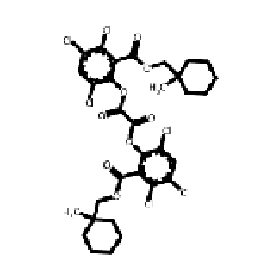 CC1(COC(=O)c2c(Cl)c(Cl)cc(Cl)c2OC(=O)C(=O)Oc2c(Cl)cc(Cl)c(Cl)c2C(=O)OCC2(C)CCCCC2)CCCCC1